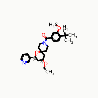 CCO[C@H]1C[C@@H](c2cccnc2)OC2(CCN(C(=O)c3ccc(C(C)(C)C)c(OC)c3)CC2)C1